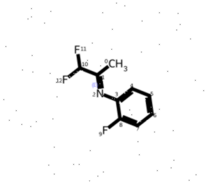 C/C(=N\c1ccccc1F)C(F)F